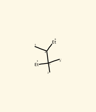 [CH2]C(C)(CC)C(C)CC